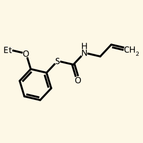 C=CCNC(=O)Sc1ccccc1OCC